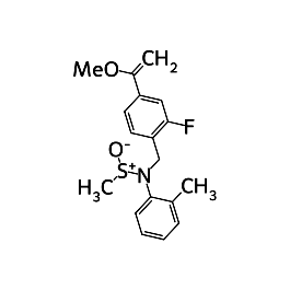 C=C(OC)c1ccc(CN(c2ccccc2C)[S+](C)[O-])c(F)c1